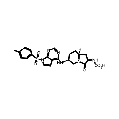 Cc1ccc(S(=O)(=O)n2ccc3c(N[C@H]4CC[C@H]5CC(NC(=O)O)C(=O)N5C4)ncnc32)cc1